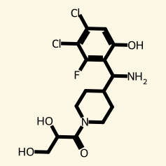 NC(c1c(O)cc(Cl)c(Cl)c1F)C1CCN(C(=O)C(O)CO)CC1